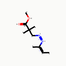 C/C=C(C)\N=N/CC(C)(C)C(=O)OC